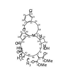 COC(=O)C(C(=O)OC)[C@@H]1C[C@@H](O)[C@@H]2CC[C@H]2CN2CCCCc3cc(Cl)ccc3COc3ccc(cc32)C(=O)NS(=O)(=O)[C@H](C)[C@@H](C)C1